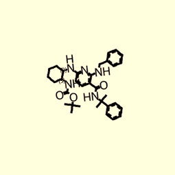 CC(C)(C)OC(=O)N[C@H]1CCCC[C@H]1Nc1ccc(C(=O)NC(C)(C)c2ccccc2)c(NCc2ccccc2)n1